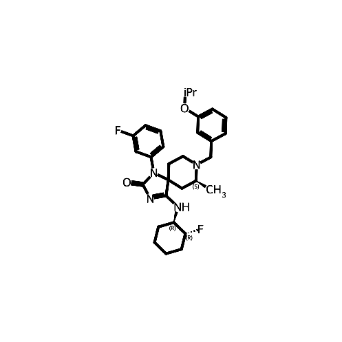 CC(C)Oc1cccc(CN2CCC3(C[C@@H]2C)C(N[C@@H]2CCCC[C@H]2F)=NC(=O)N3c2cccc(F)c2)c1